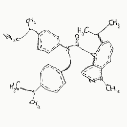 CC(C)c1ccc(N(Cc2ccc(N(C)C)cc2)C(=O)c2c(C(C)C)ccc3c2cnn3C)cc1